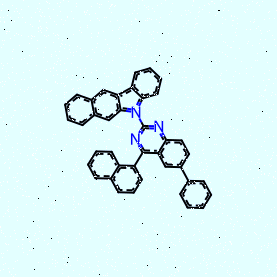 c1ccc(-c2ccc3nc(-n4c5ccccc5c5cc6ccccc6cc54)nc(-c4cccc5ccccc45)c3c2)cc1